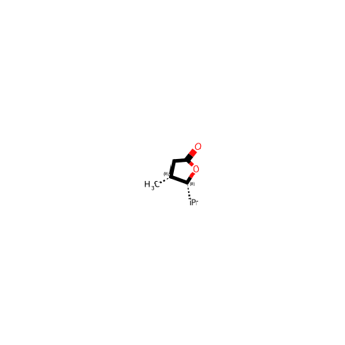 CC(C)[C@H]1OC(=O)C[C@H]1C